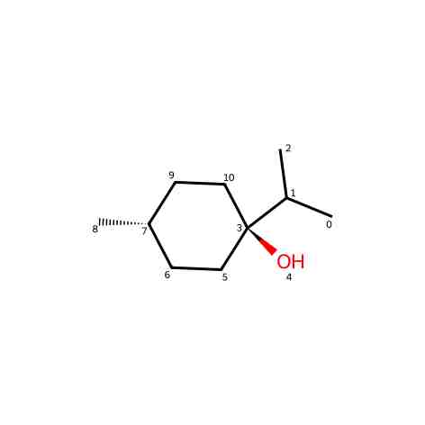 CC(C)[C@]1(O)CC[C@H](C)CC1